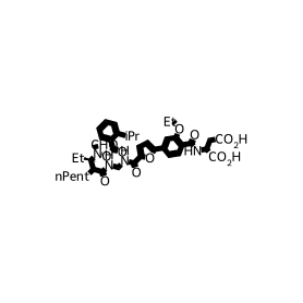 CCCCCC(C(=O)NCNC(=O)c1ccc(-c2ccc(C(=O)NC(CC(=O)O)C(=O)O)c(OCC)c2)o1)[C@@H](CC)N(C=O)OC(=O)c1ccccc1C(C)C